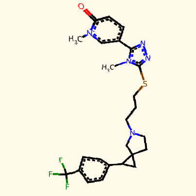 Cn1c(SCCCN2CCC3(CC3c3ccc(C(F)(F)F)cc3)C2)nnc1-c1ccc(=O)n(C)c1